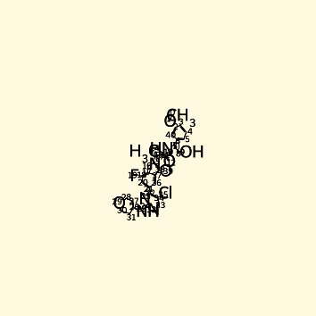 COc1cccc([C@@H](CO)NC(=O)[C@@H](C)N2Cc3c(F)cc(-c4nc(NC5CCOCC5)ncc4Cl)cc3C2=O)c1